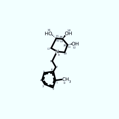 Cc1ccccc1CCN1C[C@@H](O)[C@H](O)[C@@H](O)C1